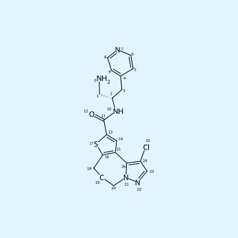 NC[C@H](Cc1ccncc1)NC(=O)c1cc2c(s1)CCCn1ncc(Cl)c1-2